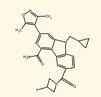 Cc1noc(C)c1-c1cc(C(N)=O)c2c3cc(C(=O)N4CC(F)C4)ccc3n(CC3CC3)c2c1